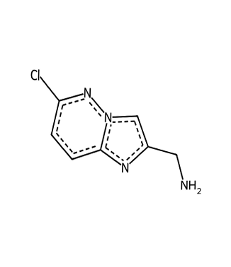 NCc1cn2nc(Cl)ccc2n1